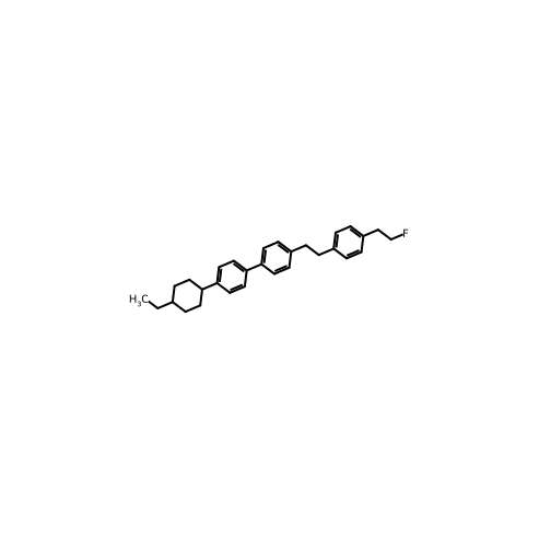 CCC1CCC(c2ccc(-c3ccc(CCc4ccc(CCF)cc4)cc3)cc2)CC1